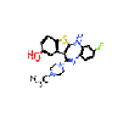 CN1CCN(C2=Nc3ccc(F)cc3Nc3sc4ccc(O)cc4c32)CC1